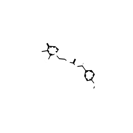 CSc1ccc([C@H](C)OC(=O)NCCn2ccc(=O)c(O)c2C)cc1